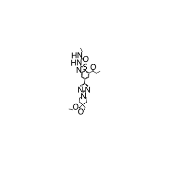 CCNC(=O)Nc1nc2cc(-c3cnc(N4CCC(CC)(C(=O)OCC)CC4)nc3)cc(C(=O)CC)c2s1